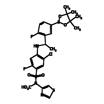 CC(Nc1cc(F)c(S(=O)(=O)N(C(=O)O)c2cscn2)cc1Cl)c1cc(B2OC(C)(C)C(C)(C)O2)ccc1F